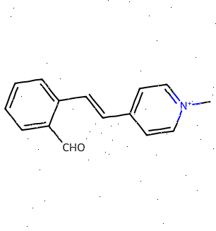 C[n+]1ccc(/C=C/c2ccccc2C=O)cc1